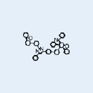 c1ccc(-c2cc(-c3ccc(-c4cccc(-c5c6c(cc7c(-c8ccccc8)nc8ccccc8c57)oc5ccccc56)c4)cc3)nc(-c3cccc(-c4cccc5c4oc4ccccc45)c3)n2)cc1